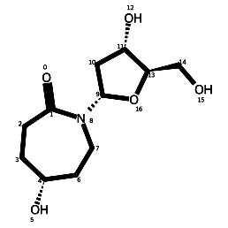 O=C1CC[C@@H](O)CCN1[C@@H]1C[C@H](O)[C@@H](CO)O1